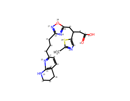 Cc1ncc(C(CC(=O)O)Cc2nc(CCCc3ccc4c(n3)NCCC4)no2)s1